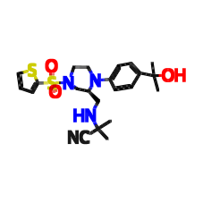 CC(C)(C#N)NC[C@H]1CN(S(=O)(=O)c2cccs2)CCN1c1ccc(C(C)(C)O)cc1